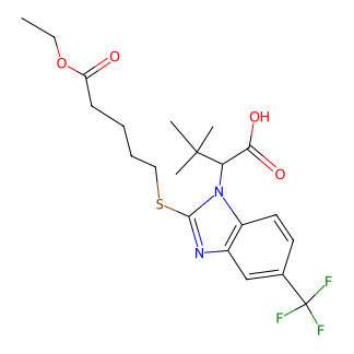 CCOC(=O)CCCCSc1nc2cc(C(F)(F)F)ccc2n1C(C(=O)O)C(C)(C)C